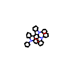 c1ccc(N(c2ccccc2)c2ccccc2-c2cc3c4ccccc4n(-c4ccccc4)c3c3c2c2ccccc2n3-c2ccccc2)cc1